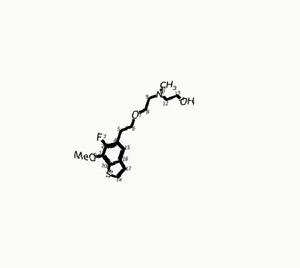 COc1c(F)c(CCOCCN(C)CCO)cc2ccsc12